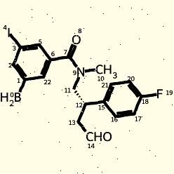 Bc1cc(I)cc(C(=O)N(C)C[C@@H](CC=O)c2ccc(F)cc2)c1